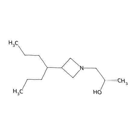 CCCC(CCC)C1CN(C[C@H](C)O)C1